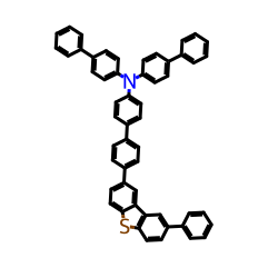 c1ccc(-c2ccc(N(c3ccc(-c4ccccc4)cc3)c3ccc(-c4ccc(-c5ccc6sc7ccc(-c8ccccc8)cc7c6c5)cc4)cc3)cc2)cc1